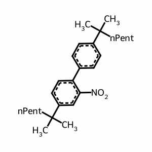 CCCCCC(C)(C)c1ccc(-c2ccc(C(C)(C)CCCCC)cc2[N+](=O)[O-])cc1